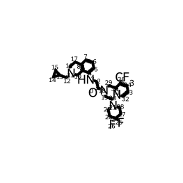 O=C(CNc1cccc2c1CN(CC1CC1)CC2)N(CCN1CCC(F)(F)CC1)Cc1ncccc1C(F)(F)F